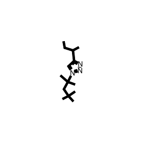 CCC(C)c1cn(C(C)(C)CC(C)(C)C)nn1